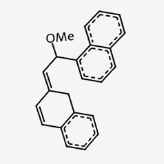 COC(C=C1C=Cc2ccccc2C1)c1cccc2ccccc12